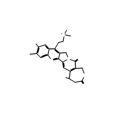 CC[C@@]1(O)CC(=O)OCc2c1cc1n(c2=O)Cc2c-1nc1cc(F)c(F)cc1c2CC[Si](C)(C)C